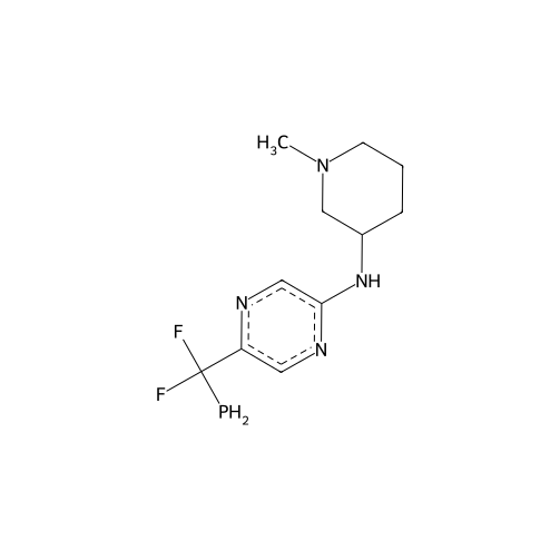 CN1CCCC(Nc2cnc(C(F)(F)P)cn2)C1